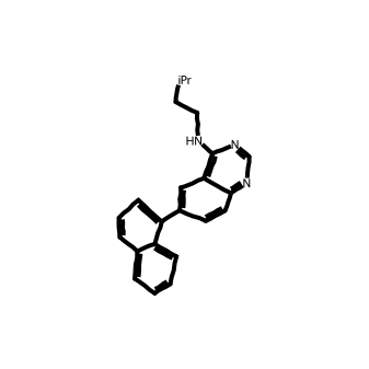 CC(C)CCNc1ncnc2ccc(-c3cccc4ccccc34)cc12